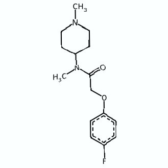 CN1CCC(N(C)C(=O)COc2ccc(F)cc2)CC1